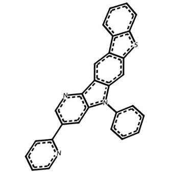 c1ccc(-n2c3cc4sc5ccccc5c4cc3c3ncc(-c4ccccn4)cc32)cc1